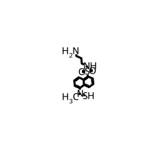 CN(S)c1cccc2c(S(=O)(=O)NCCCN)cccc12